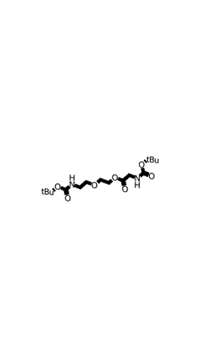 CC(C)(C)OC(=O)NCCOCCOC(=O)CNC(=O)OC(C)(C)C